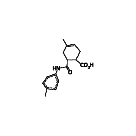 CC1=CCC(C(=O)O)C(C(=O)Nc2ccc(C)cc2)C1